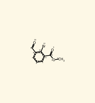 COC(=O)c1cccc(C=O)c1Br